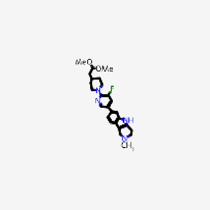 COC(CC1CCN(c2ncc(-c3ccc4c5c([nH]c4c3)CCN(C)C5)cc2F)CC1)OC